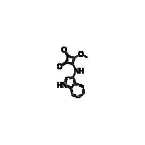 COc1c(Nc2c[nH]c3ccccc23)c(=O)c1=O